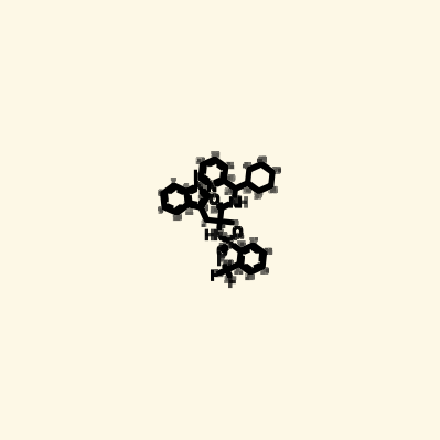 CC(Cc1c[nH]c2ccccc12)(NS(=O)(=O)c1ccccc1C(F)(F)F)C(=O)NC(c1ccccn1)C1CCCCC1